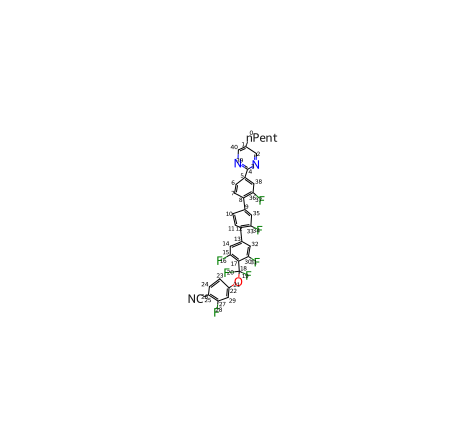 CCCCCc1cnc(-c2ccc(-c3ccc(-c4cc(F)c(C(F)(F)Oc5ccc(C#N)c(F)c5)c(F)c4)c(F)c3)c(F)c2)nc1